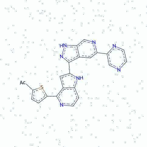 CC(=O)c1ccc(-c2nccc3[nH]c(-c4n[nH]c5cnc(-c6cnccn6)cc45)cc23)s1